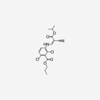 CCCOC(=O)c1c(Cl)ccc(NC=C(C#N)C(=O)OC(C)C)c1Cl